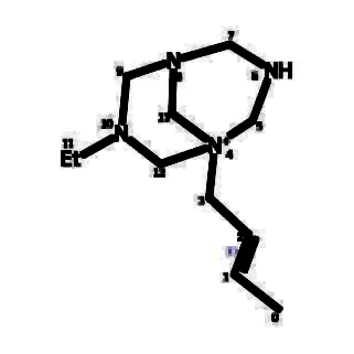 C/C=C/C[N+]12CNCN(CN(CC)C1)C2